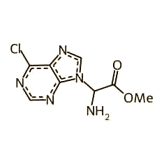 COC(=O)C(N)n1cnc2c(Cl)ncnc21